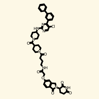 O=C(COc1ccc2c(c1)CN(C1CCC(=O)NC1=O)C2=O)NCCCC(=O)N1CCC(C(=O)N2CCC(Nc3ncc(Cl)c(-c4cccc(-c5ccccc5)c4)n3)CC2)CC1